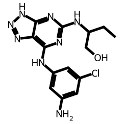 CCC(CO)Nc1nc(Nc2cc(N)cc(Cl)c2)c2nn[nH]c2n1